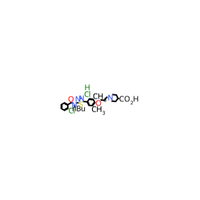 CCCCN(C(=O)c1ccccc1Cl)c1nnc(-c2cc(C)c(OCCCN3CCC(C(=O)O)CC3)c(C)c2)s1.Cl